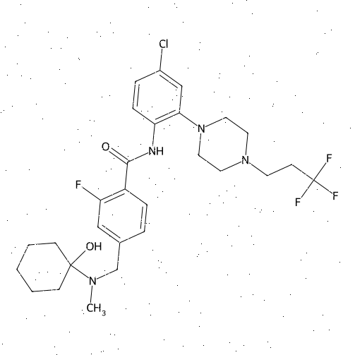 CN(Cc1ccc(C(=O)Nc2ccc(Cl)cc2N2CCN(CCC(F)(F)F)CC2)c(F)c1)C1(O)CCCCC1